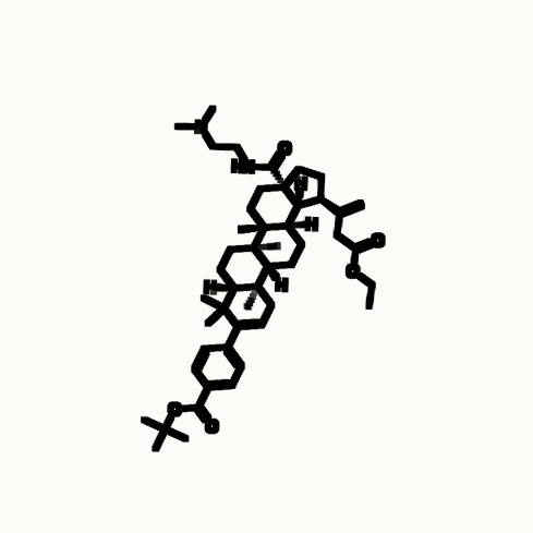 C=C(CC(=O)OCC)[C@@H]1CC[C@]2(C(=O)NCCN(C)C)CC[C@]3(C)[C@H](CC[C@@H]4[C@@]5(C)CC=C(c6ccc(C(=O)OC(C)(C)C)cc6)C(C)(C)[C@@H]5CC[C@]43C)[C@@H]12